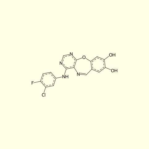 Oc1cc2c(cc1O)Oc1ncnc(Nc3ccc(F)c(Cl)c3)c1N=C2